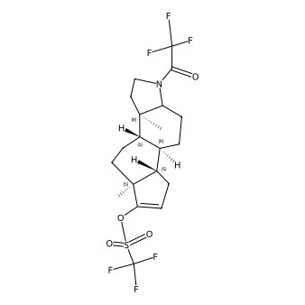 C[C@]12CCN(C(=O)C(F)(F)F)C1CC[C@@H]1[C@@H]2CC[C@]2(C)C(OS(=O)(=O)C(F)(F)F)=CC[C@@H]12